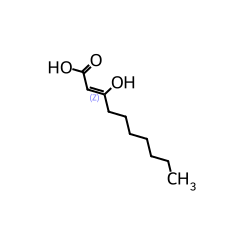 CCCCCCC/C(O)=C/C(=O)O